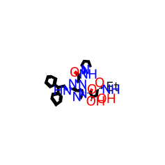 CCNC(=O)[C@H]1O[C@@H](n2cnc3c(NCC(c4ccccc4)c4ccccc4)nc(C(=O)NN4CCCC4)nc32)[C@H](O)[C@@H]1O